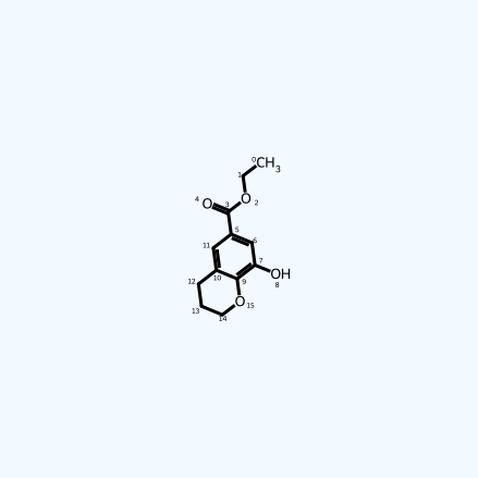 CCOC(=O)c1cc(O)c2c(c1)CCCO2